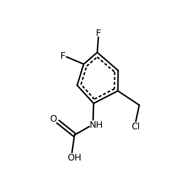 O=C(O)Nc1cc(F)c(F)cc1CCl